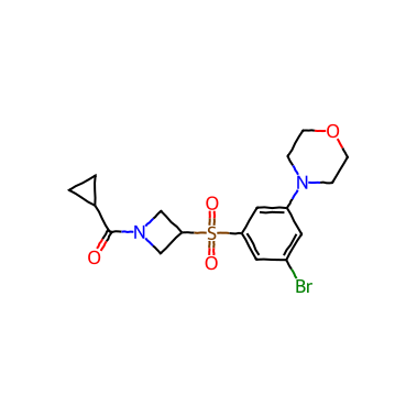 O=C(C1CC1)N1CC(S(=O)(=O)c2cc(Br)cc(N3CCOCC3)c2)C1